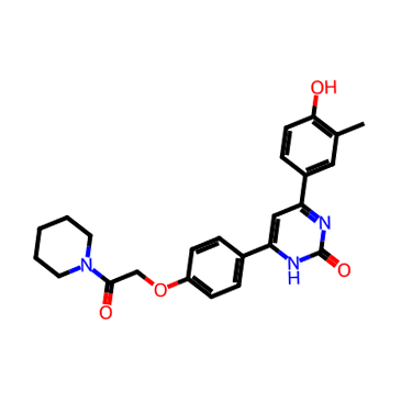 Cc1cc(-c2cc(-c3ccc(OCC(=O)N4CCCCC4)cc3)[nH]c(=O)n2)ccc1O